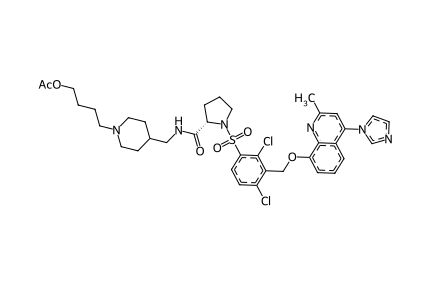 CC(=O)OCCCCN1CCC(CNC(=O)[C@@H]2CCCN2S(=O)(=O)c2ccc(Cl)c(COc3cccc4c(-n5ccnc5)cc(C)nc34)c2Cl)CC1